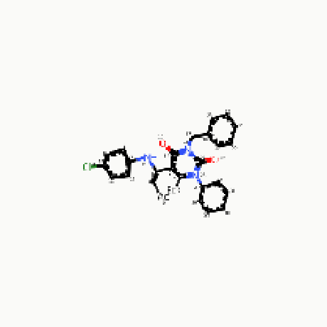 CCc1c(/C(=C\C(C)=O)Nc2ccc(Cl)cc2)c(=O)n(Cc2ccccc2)c(=O)n1-c1ccccc1